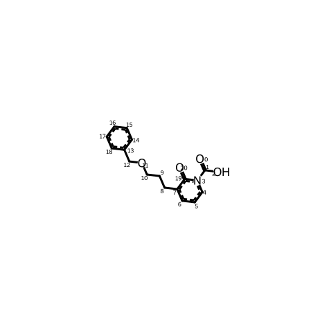 O=C(O)n1cccc(CCCOCc2ccccc2)c1=O